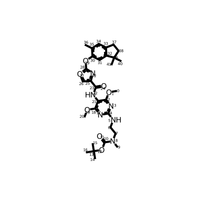 COc1nc(NCCN(C)C(=O)OC(C)(C)C)nc(OC)c1NC(=O)c1coc(Oc2cc3c(cc2C)CCC3(C)C)n1